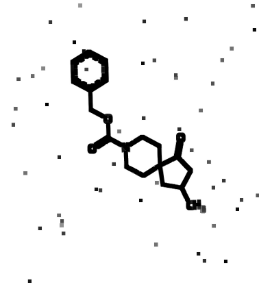 CC1CC(=O)C2(CCN(C(=O)OCc3ccccc3)CC2)C1